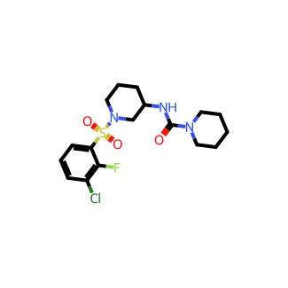 O=C(NC1CCCN(S(=O)(=O)c2cccc(Cl)c2F)C1)N1CCCCC1